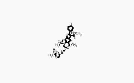 C=S(C)(=O)N1C[C@@H](COC[C@H]2COC(C)(C)O2)O[C@@H](C)c2cc3c(C(=O)NC)c(-c4ccc(F)cc4)oc3cc21